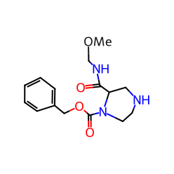 COCNC(=O)C1CNCCN1C(=O)OCc1ccccc1